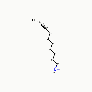 CC#CCCCCCCC[NH]